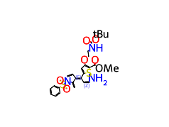 C=c1/c(=C(\C=C/N)c2cc(OCCNC(=O)OC(C)(C)C)c(C(=O)OC)s2)ccn1S(=O)(=O)c1ccccc1